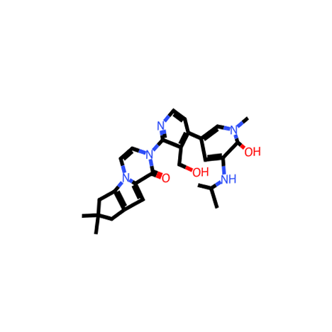 CC(C)NC1=CC(c2ccnc(-n3ccn4c5c(cc4c3=O)CC(C)(C)C5)c2CO)=CN(C)C1O